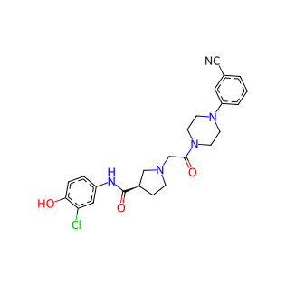 N#Cc1cccc(N2CCN(C(=O)CN3CC[C@@H](C(=O)Nc4ccc(O)c(Cl)c4)C3)CC2)c1